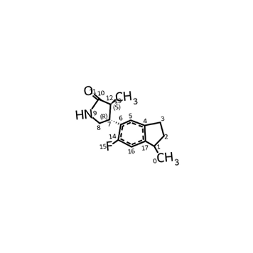 CC1CCc2cc([C@@H]3CNC(=O)[C@H]3C)c(F)cc21